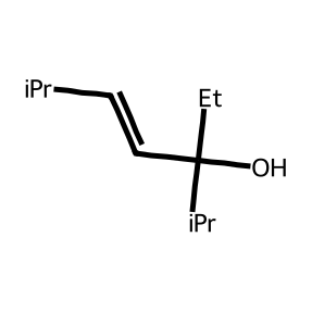 CCC(O)(/C=C/C(C)C)C(C)C